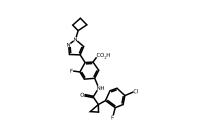 O=C(O)c1cc(NC(=O)C2(c3ccc(Cl)cc3F)CC2)cc(F)c1-c1cnn(C2CCC2)c1